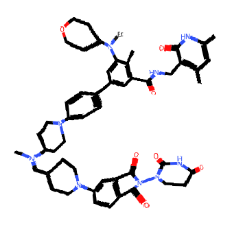 CCN(c1cc(-c2ccc(N3CCC(N(C)CC4CCN(c5ccc6c(c5)C(=O)N(N5CCC(=O)NC5=O)C6=O)CC4)CC3)cc2)cc(C(=O)NCc2c(C)cc(C)[nH]c2=O)c1C)C1CCOCC1